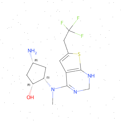 CN(C1=NCNc2sc(CC(F)(F)F)cc21)[C@H]1C[C@@H](N)C[C@H]1O